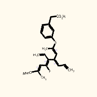 C=C/C=C(\C=C(/C)Sc1cccc(CC(=O)O)c1)C(/C=C)=C(F)/C=C(\C)OC